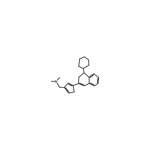 CN(C)CC1=CCC(C2=Cc3ccccc3C(C3CCCCC3)C2)=C1